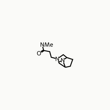 CNC(=O)CCN1CC2CCC(C1)N2C